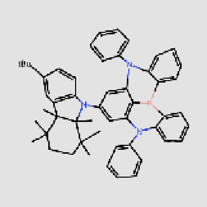 CC(C)(C)c1ccc2c(c1)C1(C)C(C)(C)CCC(C)(C)C1(C)N2c1cc2c3c(c1)N(c1ccccc1)c1ccccc1B3c1ccccc1N2c1ccccc1